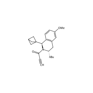 C#CC(=O)N1[C@@H](CCCC)Cc2cc(OC)ccc2[C@@H]1C12CC(C1)C2